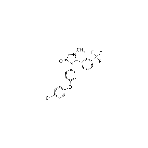 CN1CC(=O)N(c2ccc(Oc3ccc(Cl)cc3)cc2)C1c1cccc(C(F)(F)F)c1